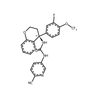 N#Cc1ccc(NC(=O)N[C@]2(c3ccc(OC(F)(F)F)c(F)c3)CCOc3cccnc32)cn1